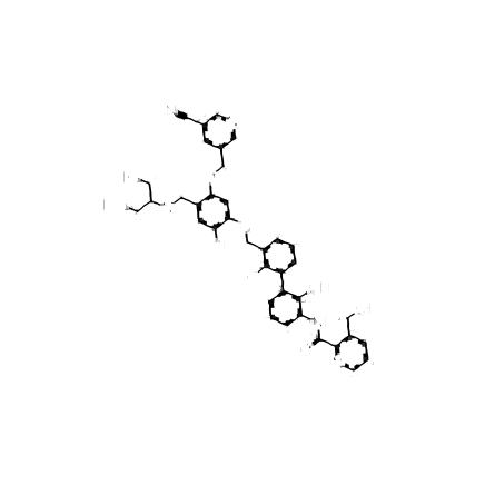 Cc1c(COc2cc(OCc3cncc(C#N)c3)c(CNC(CO)CO)cc2Cl)cccc1-c1cccc(NC(=O)c2ncccc2CO)c1C